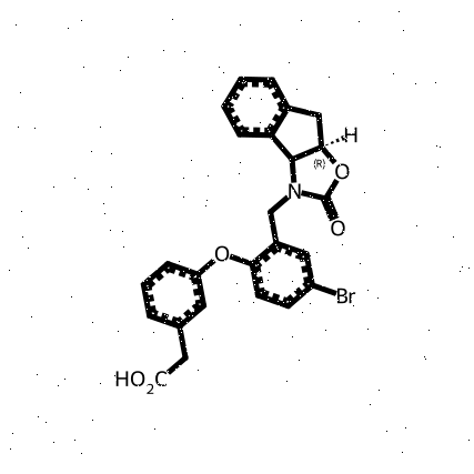 O=C(O)Cc1cccc(Oc2ccc(Br)cc2CN2C(=O)O[C@@H]3Cc4ccccc4C32)c1